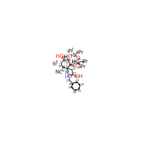 CC(C)[Si]1(C(C)C)O[C@H]2[C@@H](O)[C@@H](Br)[C@@H](C#N)[C@@](CCO)(NOCc3ccccc3)[C@@H]2O[Si](C(C)C)(C(C)C)O1